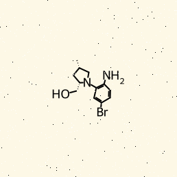 C[C@H]1C[C@@H](CO)N(c2cc(Br)ccc2N)C1